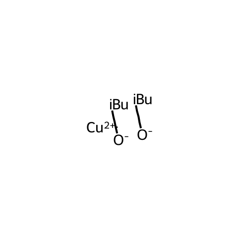 CCC(C)[O-].CCC(C)[O-].[Cu+2]